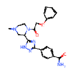 CN1CCN(C(=O)COc2ccccc2)C(c2nc(-c3ccc(C(N)=O)cc3)n[nH]2)C1